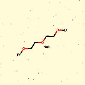 CCOCCOCCOCC.[NaH]